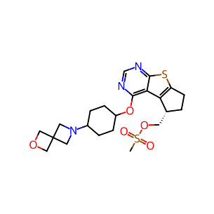 CS(=O)(=O)OC[C@H]1CCc2sc3ncnc(OC4CCC(N5CC6(COC6)C5)CC4)c3c21